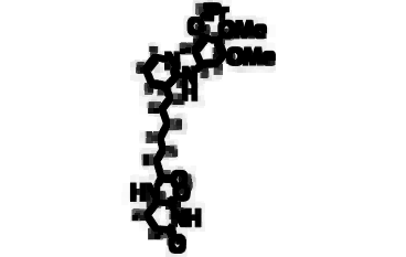 COc1cc(Nc2ncccc2CCCCCCC(=O)NC2CCC(=O)NC2=O)cc(OC(C)C)c1OC